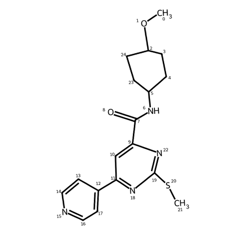 COC1CCC(NC(=O)c2cc(-c3ccncc3)nc(SC)n2)CC1